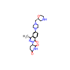 Cc1nn(C2CCC(=O)NC2=O)c(=O)c2ccc(N3CCN(C[C@@H]4CNCCO4)CC3)cc12